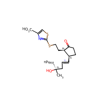 CCCCC[C@](C)(O)C/C=C/[C@@H]1CCC(=O)[C@@H]1CCSc1nc(C(=O)O)cs1